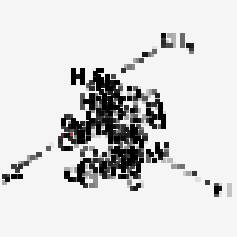 CCCCCCCCCCCC(=O)NCC(=O)O[C@@H]1[C@H](NC(=O)CN(C)C(=O)CCCCCCCCCCC)[C@@H](OCCOP(c2ccccc2)c2ccccc2)O[C@H](CO[C@@H]2O[C@H](COC(=O)OCC(Cl)(Cl)Cl)[C@@H](OP(=O)(Oc3ccccc3)Oc3ccccc3)[C@H](OC(=O)CNC(=O)CCCCCCCCCCC)[C@@H]2NC(=O)OCC(Cl)(Cl)Cl)[C@H]1OCCOP(c1ccccc1)c1ccccc1